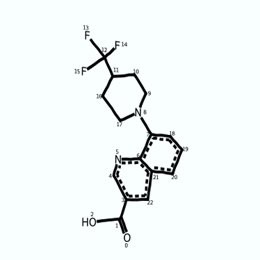 O=C(O)c1cnc2c(N3CCC(C(F)(F)F)CC3)cccc2c1